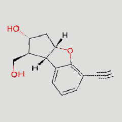 C#Cc1cccc2c1O[C@H]1C[C@@H](O)[C@H](CO)[C@@H]21